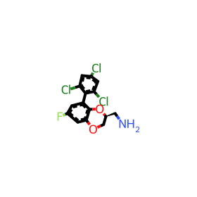 NC[C@H]1COc2cc(F)cc(-c3c(Cl)cc(Cl)cc3Cl)c2O1